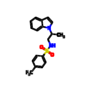 CC(CNS(=O)(=O)c1ccc(C(F)(F)F)cc1)n1ccc2ccccc21